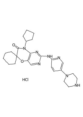 Cl.O=C1N(C2CCCC2)c2nc(Nc3ccc(N4CCNCC4)cn3)ncc2OC12CCCCC2